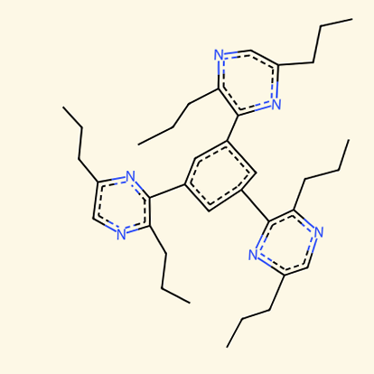 CCCc1cnc(CCC)c(-c2cc(-c3nc(CCC)cnc3CCC)cc(-c3nc(CCC)cnc3CCC)c2)n1